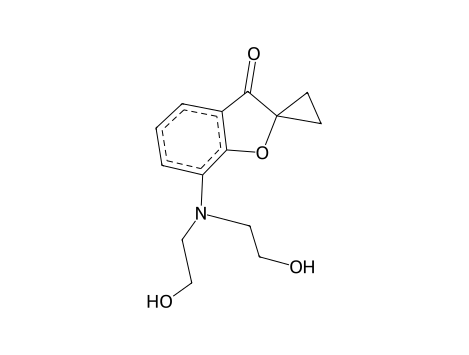 O=C1c2cccc(N(CCO)CCO)c2OC12CC2